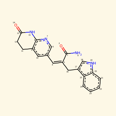 NC(=O)/C(=C\c1cnc2c(c1)CCC(=O)N2)Cc1c[nH]c2ccccc12